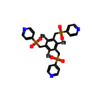 CCc1c(CS(=O)(=O)c2ccncc2)c(CC)c(CS(=O)(=O)c2ccncc2)c(CC)c1CS(=O)(=O)c1ccncc1